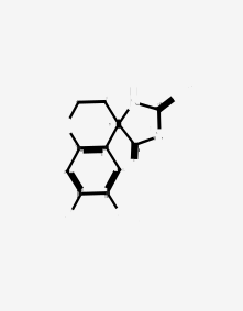 Cc1cc2c(cc1C)C1(CCS2)NC(=O)NC1=O